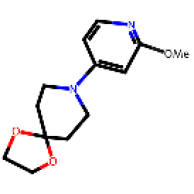 COc1cc(N2CCC3(CC2)OCCO3)ccn1